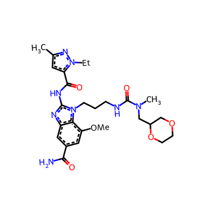 CCn1nc(C)cc1C(=O)Nc1nc2cc(C(N)=O)cc(OC)c2n1CCCNC(=O)N(C)CC1COCCO1